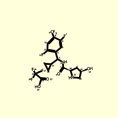 O=C(NC(c1cc(F)c(C(F)(F)F)cc1F)C1CC1)[C@H]1C[C@@H](O)CN1.O=C(O)C(F)(F)F